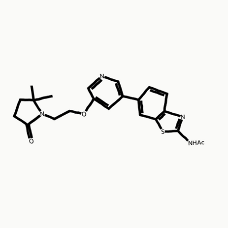 CC(=O)Nc1nc2ccc(-c3cncc(OCCN4C(=O)CCC4(C)C)c3)cc2s1